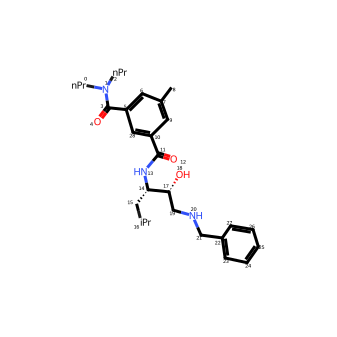 CCCN(CCC)C(=O)c1cc(C)cc(C(=O)N[C@@H](CC(C)C)[C@H](O)CNCc2ccccc2)c1